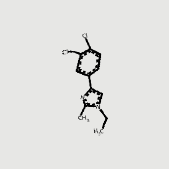 CCn1cc(-c2ccc(Cl)c(Cl)c2)nc1C